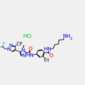 CCc1cc(NC(=O)c2ncc(-c3cn(CC(F)F)nc3C(F)(F)F)n2C)ccc1C(=O)NCCCCCN.Cl